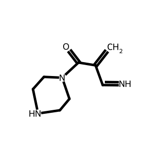 C=C(C=N)C(=O)N1CCNCC1